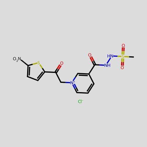 CS(=O)(=O)NNC(=O)c1ccc[n+](CC(=O)c2ccc([N+](=O)[O-])s2)c1.[Cl-]